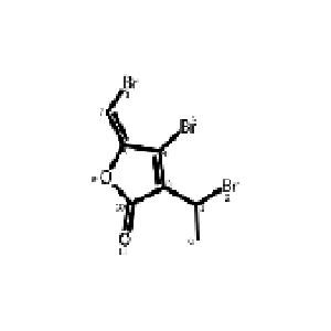 CC(Br)C1=C(Br)/C(=C\Br)OC1=O